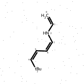 C=CN/C=C\C=C/C(C)(C)C